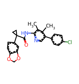 Cc1c(-c2ccc(Cl)cc2)cnc(NC(=O)C2(c3ccc4c(c3)OCO4)CC2)c1C